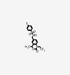 CC1OC(=O)N(CC(F)(F)F)c2ccc(CNS(=O)(=O)c3ccc(F)cc3)cc21